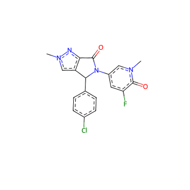 Cn1cc2c(n1)C(=O)N(c1cc(F)c(=O)n(C)c1)C2c1ccc(Cl)cc1